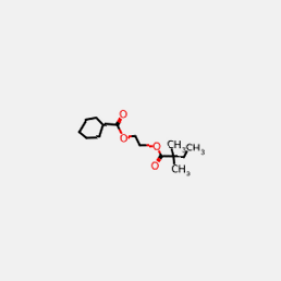 CCC(C)(C)C(=O)OCCOC(=O)C1CCCCC1